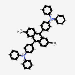 Cc1ccc2c(-c3ccc(N(c4ccccc4)c4ccccc4)cc3)c3cc(C)ccc3c(-c3ccc(N(C4=CCCC=C4)c4ccccc4)cc3)c2c1